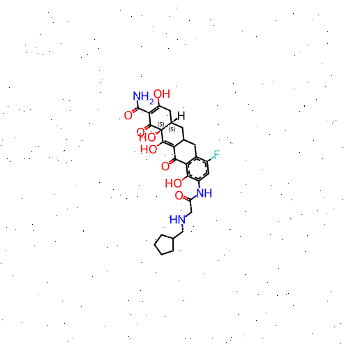 NC(=O)C1=C(O)C[C@@H]2CC3Cc4c(F)cc(NC(=O)CNCC5CCCC5)c(O)c4C(=O)C3=C(O)[C@]2(O)C1=O